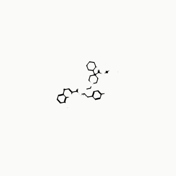 COc1cccc2c(=O)cc(C(=O)N[C@H](CCN3CCC(C(=O)NC(C)(C)C)(C4CCCCC4)CC3)Cc3ccc(Cl)cc3)oc12